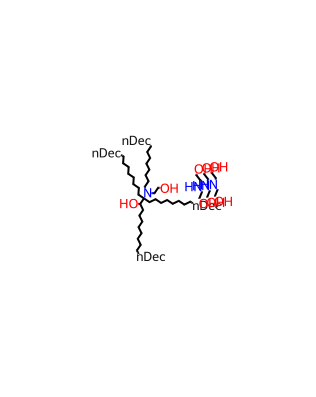 CCCCCCCCCCCCCCCCCCC(O)C(CCCCCCCCCCCCCCCCCC)(CCCCCCCCCCCCCCCCCC)N(CCO)CCCCCCCCCCCCCCCCCC.OCCNCCO.OCCNCCO.OCCNCCO